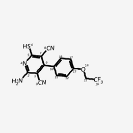 N#Cc1c(N)nc(S)c(C#N)c1-c1ccc(OCC(F)(F)F)cc1